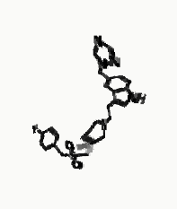 O=S(=O)(Cc1ccc(F)cc1)C[C@@H]1CCN(CCc2c[nH]c3ccc(Cn4cncn4)cc23)C1